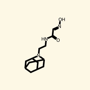 O=C(C=NO)NCCN1C2CC3CC(C2)CC1C3